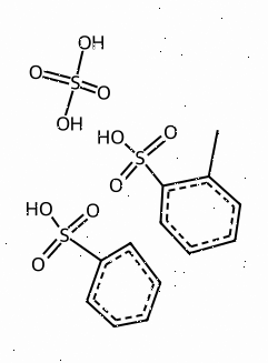 Cc1ccccc1S(=O)(=O)O.O=S(=O)(O)O.O=S(=O)(O)c1ccccc1